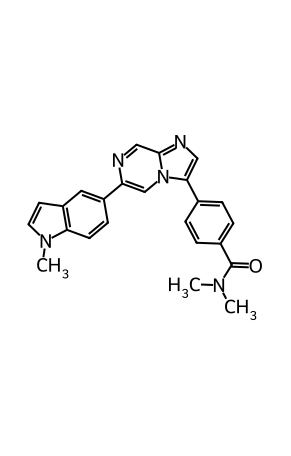 CN(C)C(=O)c1ccc(-c2cnc3cnc(-c4ccc5c(ccn5C)c4)cn23)cc1